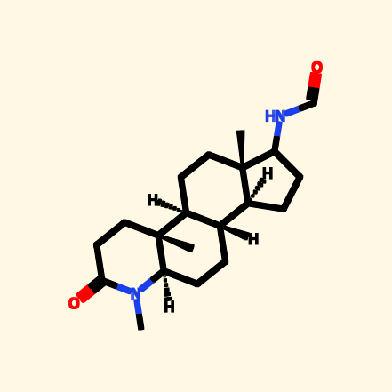 CN1C(=O)CC[C@]2(C)[C@H]3CC[C@]4(C)C(NC=O)CC[C@H]4[C@@H]3CC[C@@H]12